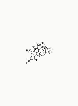 CC(C)c1c2c(c3c([n+]1[O-])CC(C)(C)C[C@@H]3O[Si](C)(C)C(C)(C)C)C1(CCOCC1)O[C@@H]2c1ccc(C(F)(F)F)cc1F